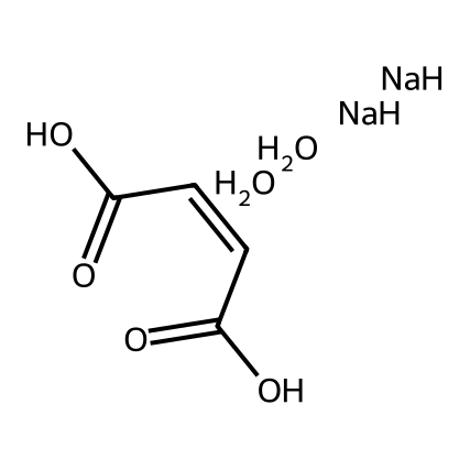 O.O.O=C(O)/C=C\C(=O)O.[NaH].[NaH]